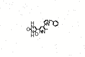 Cc1nnc(-c2c[nH]c(=O)[nH]c2=O)cc1-c1ccn(Cc2ccccc2)n1